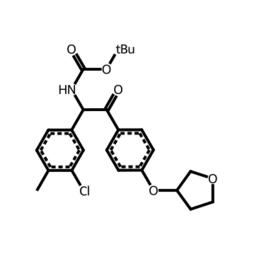 Cc1ccc(C(NC(=O)OC(C)(C)C)C(=O)c2ccc(OC3CCOC3)cc2)cc1Cl